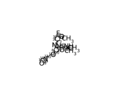 COc1cc(-c2nc3cc(OCCCN4CCOCC4)ccc3n2CC(=O)NC(C)C)ccc1F